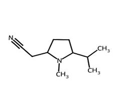 CC(C)C1CCC(CC#N)N1C